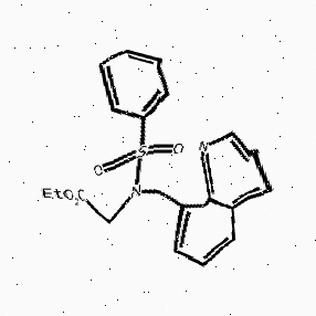 CCOC(=O)CN(c1cccc2cccnc12)S(=O)(=O)c1ccccc1